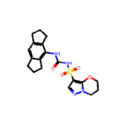 O=C(Nc1c2c(cc3c1CCC3)CCC2)NS(=O)(=O)c1cnn2c1OCCC2